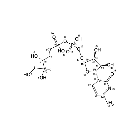 C[C@](O)(CO)[C@H](O)COP(=O)(O)OP(=O)(O)OC[C@H]1O[C@@H](n2ccc(N)nc2=O)[C@H](O)[C@@H]1O